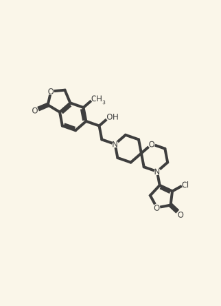 Cc1c(C(O)CN2CCC3(CC2)CN(C2=C(Cl)C(=O)OC2)CCO3)ccc2c1COC2=O